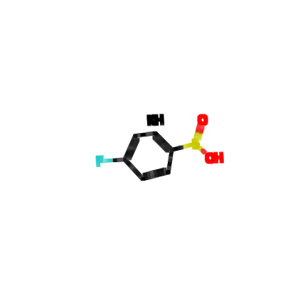 O=S(O)c1ccc(F)cc1.[KH]